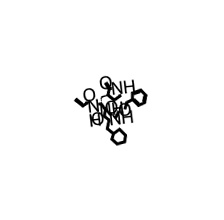 C=CC(=O)N[C@H](C[C@@H]1CCNC1=O)NC(=O)C(CC1CCCCC1)NC(=O)OCc1ccccc1